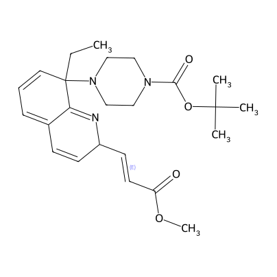 CCC1(N2CCN(C(=O)OC(C)(C)C)CC2)C=CC=C2C=CC(/C=C/C(=O)OC)N=C21